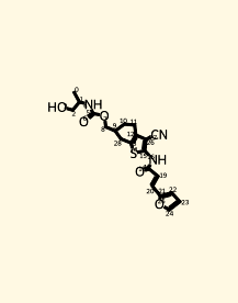 CC(CO)NC(=O)OCC1CCc2c(sc(NC(=O)C=Cc3ccco3)c2C#N)C1